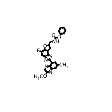 COc1cnc2c(-c3nc4cc(F)c5c(c4s3)CC(CNC(=O)Oc3ccccc3)O5)cc(C)cc2n1